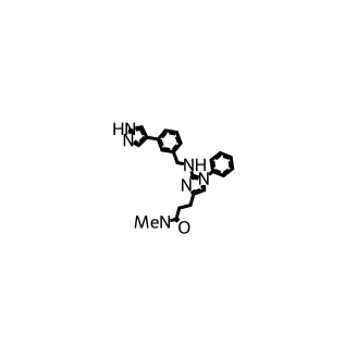 CNC(=O)CCc1cn(-c2ccccc2)c(NCc2cccc(-c3cn[nH]c3)c2)n1